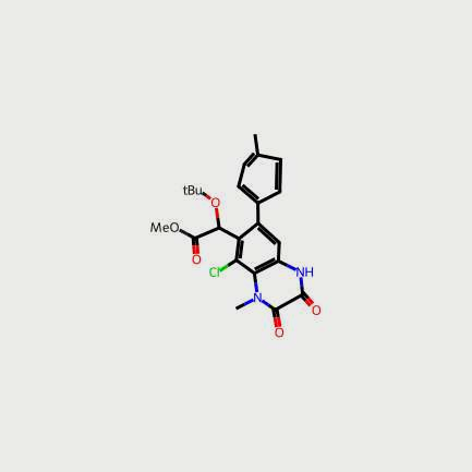 COC(=O)C(OC(C)(C)C)c1c(-c2ccc(C)cc2)cc2[nH]c(=O)c(=O)n(C)c2c1Cl